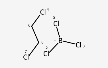 ClB(Cl)Cl.ClCCCl